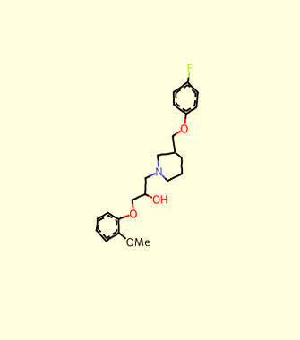 COc1ccccc1OCC(O)CN1CCCC(COc2ccc(F)cc2)C1